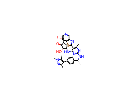 Cc1nc(N[C@H](C)c2ccc(-c3c(C)nn(C)c3C)cc2)nc(NC2C[C@H](CO)C(=O)[C@H]2O)c1-c1nc2cnccc2s1